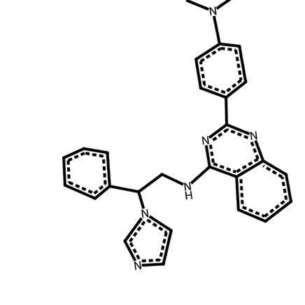 CN(C)c1ccc(-c2nc(NCC(c3ccccc3)n3ccnc3)c3ccccc3n2)cc1